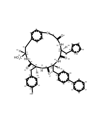 O=C1COc2ccc(cc2)C[C@@H](C(=O)O)NC(=O)[C@H](Cc2ccc(F)cc2)NC(=O)[C@@H](Cc2ccc(-c3ccccc3)cc2)NC(=O)[C@H](Cc2cccs2)N1